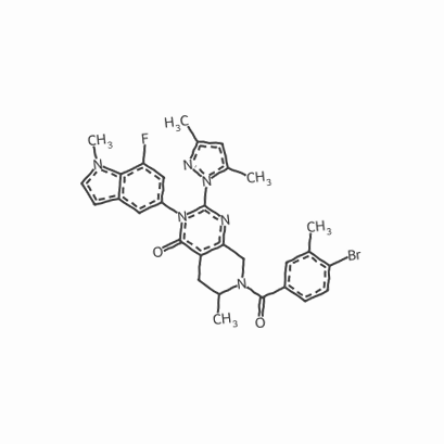 Cc1cc(C)n(-c2nc3c(c(=O)n2-c2cc(F)c4c(ccn4C)c2)CC(C)N(C(=O)c2ccc(Br)c(C)c2)C3)n1